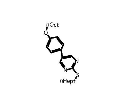 CCCCCCCCOc1ccc(-c2cnc(SCCCCCCC)nc2)cc1